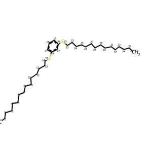 CCCCCCCCCCCCCCCSc1c[c]cc(SCCCCCCCCCCCCCCC)c1